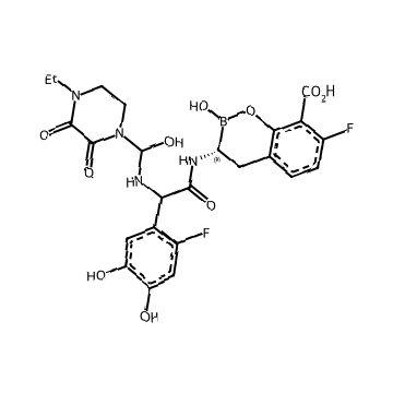 CCN1CCN(C(O)NC(C(=O)N[C@H]2Cc3ccc(F)c(C(=O)O)c3OB2O)c2cc(O)c(O)cc2F)C(=O)C1=O